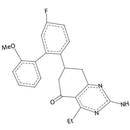 CCc1nc(N)nc2c1C(=O)CC(c1ccc(F)cc1-c1ccccc1OC)C2